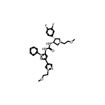 COCCN1C[C@@H](NC(=O)Nc2cc(-c3cnn(CCOC)c3)nn2-c2ccccc2)[C@H](c2ccc(F)c(F)c2)C1